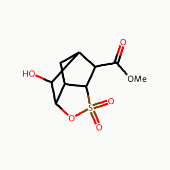 COC(=O)C1C2CC3C(OS(=O)(=O)C31)C2O